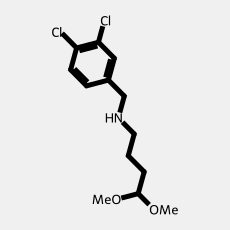 COC(CCCNCc1ccc(Cl)c(Cl)c1)OC